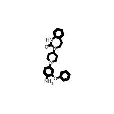 Nc1ccc(N2CCC(N3CCc4ccccc4NC3=O)CC2)cc1Oc1ccccc1